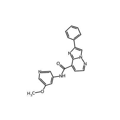 COc1cncc(NC(=O)c2ccnn3cc(-c4ccccc4)nc23)c1